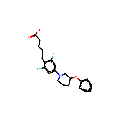 O=C(O)CCCCc1c(F)cc(N2CCCC(Oc3ccccc3)C2)cc1F